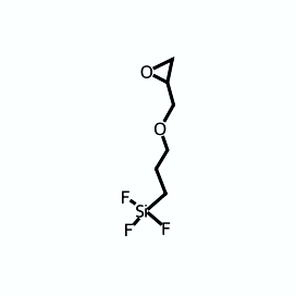 F[Si](F)(F)CCCOCC1CO1